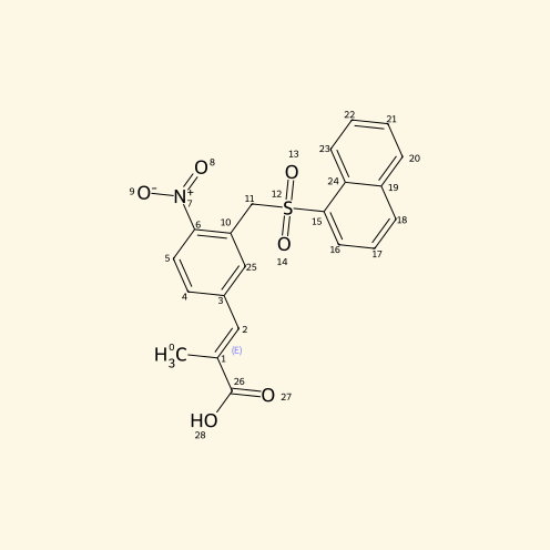 C/C(=C\c1ccc([N+](=O)[O-])c(CS(=O)(=O)c2cccc3ccccc23)c1)C(=O)O